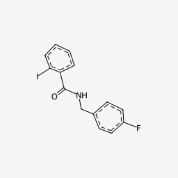 O=C(NCc1ccc(F)cc1)c1ccccc1I